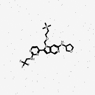 C[Si](C)(C)CCOCn1c(-c2ccnc(NCC(F)(F)F)n2)cc2cnc(NC3CCOC3)cc21